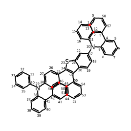 c1ccc(-c2ccccc2N(c2ccccc2)c2ccc3c(c2)sc2c4ccc(N(c5ccccc5)c5ccccc5-c5ccccc5)cc4c4ccccc4c32)cc1